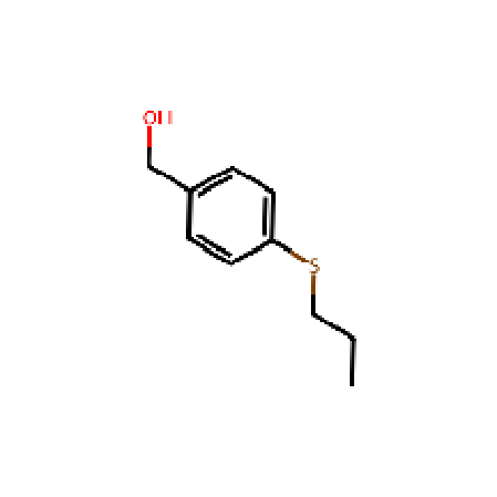 CCCSc1ccc(CO)cc1